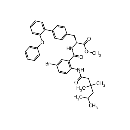 COC(=O)[C@H](Cc1ccc(-c2ccccc2Oc2ccccc2)cc1)NC(=O)c1cc(Br)ccc1NC(=O)CC(C)(C)CC(C)C